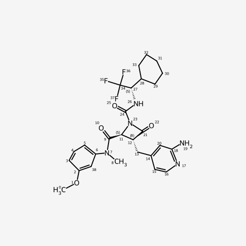 COc1cccc(N(C)C(=O)[C@@H]2[C@@H](Cc3ccnc(N)c3)C(=O)N2C(=O)N[C@@H](C2CCCCC2)C(F)(F)F)c1